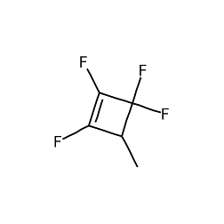 CC1C(F)=C(F)C1(F)F